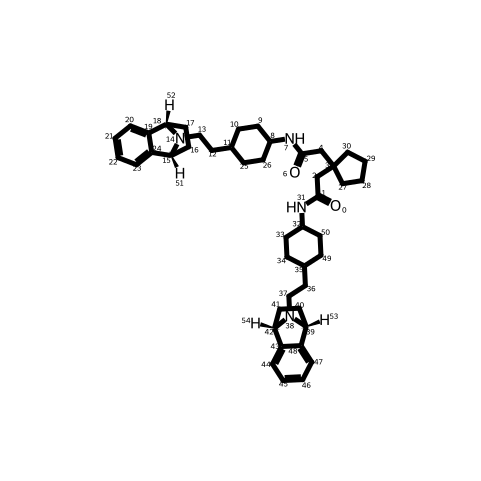 O=C(CC1(CC(=O)NC2CCC(CCN3[C@@H]4CC[C@H]3c3ccccc34)CC2)CCCC1)NC1CCC(CCN2[C@@H]3CC[C@H]2c2ccccc23)CC1